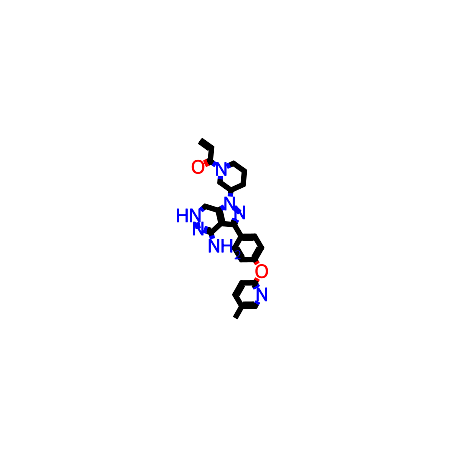 C=CC(=O)N1CCCC(n2nc(-c3ccc(Oc4ccc(C)cn4)cc3)c3c2CNN=C3N)C1